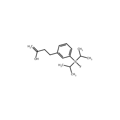 C=C(O)CCc1cccc([Si](F)(C(C)C)C(C)C)c1